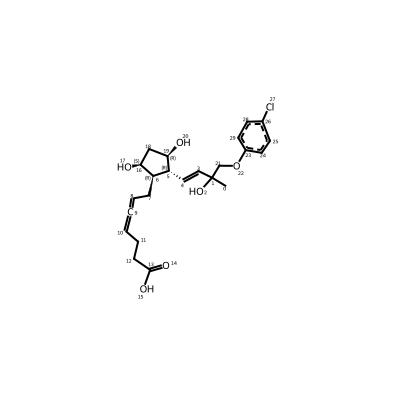 CC(O)(C=C[C@@H]1[C@@H](CC=C=CCCC(=O)O)[C@@H](O)C[C@H]1O)COc1ccc(Cl)cc1